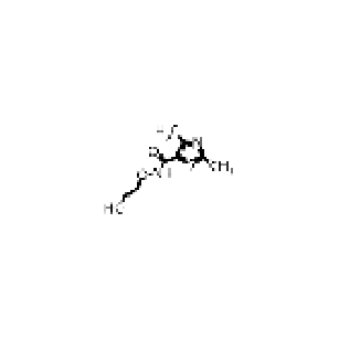 Cc1nc(C)c(C(=O)NOCCO)s1